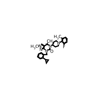 Cc1cccc(F)c1N1CCC(N2C(=O)N(Cc3ccccc3C3CC3)c3nn(C)cc3[C@H]2C)CC1